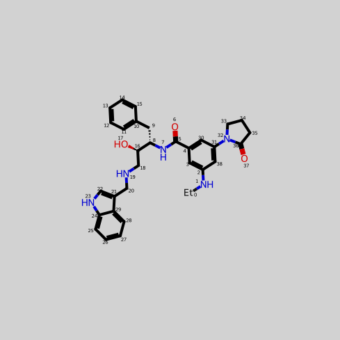 CCNc1cc(C(=O)N[C@@H](Cc2ccccc2)[C@H](O)CNCc2c[nH]c3ccccc23)cc(N2CCCC2=O)c1